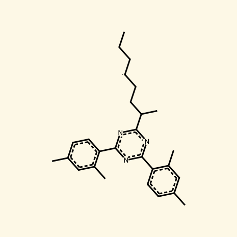 CCC[CH]CCC(C)c1nc(-c2ccc(C)cc2C)nc(-c2ccc(C)cc2C)n1